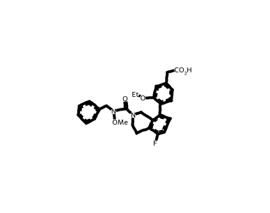 CCOc1cc(CC(=O)O)ccc1-c1ccc(F)c2c1CN(C(=O)N(Cc1ccccc1)OC)CC2